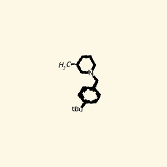 C[C@H]1CCCN(Cc2ccc(C(C)(C)C)cc2)C1